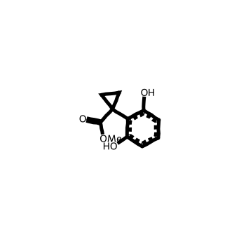 COC(=O)C1(c2c(O)cccc2O)CC1